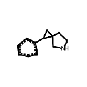 c1ccc(C2CC23CCNC3)cc1